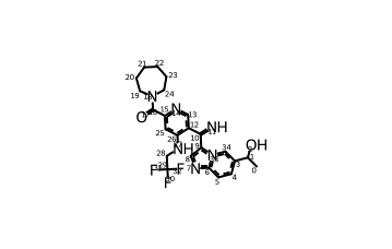 CC(O)c1ccc2ncc(C(=N)c3cnc(C(=O)N4CCCCCC4)cc3NCC(F)(F)F)n2c1